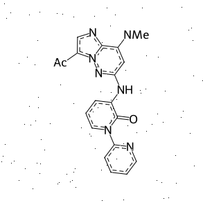 CNc1cc(Nc2cccn(-c3ccccn3)c2=O)nn2c(C(C)=O)cnc12